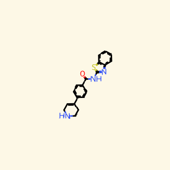 O=C(Nc1nc2ccccc2s1)c1ccc(C2=CCNCC2)cc1